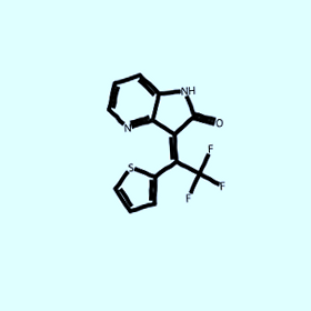 O=C1Nc2cccnc2C1=C(c1cccs1)C(F)(F)F